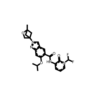 CC(C)Oc1cc2nn(C34COC(C)(C3)C4)cc2cc1C(=O)Nc1cccn(C(F)F)c1=O